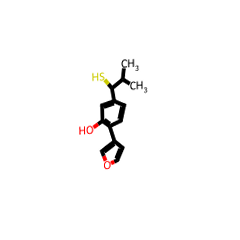 CC(C)C(S)c1ccc(-c2ccoc2)c(O)c1